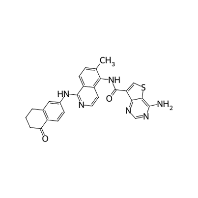 Cc1ccc2c(Nc3ccc4c(c3)CCCC4=O)nccc2c1NC(=O)c1csc2c(N)ncnc12